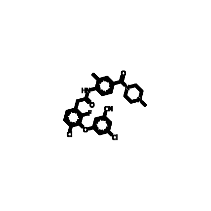 Cc1cc(C(=O)N2CCN(C)CC2)ccc1NC(=O)Cc1ccc(Cl)c(Oc2cc(Cl)cc(C#N)c2)c1F